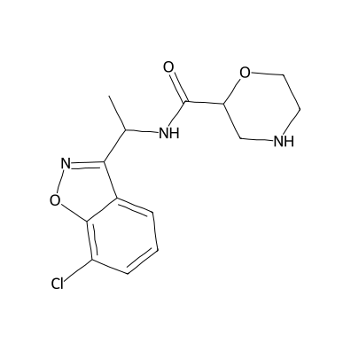 CC(NC(=O)C1CNCCO1)c1noc2c(Cl)cccc12